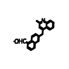 Cc1cc(Cc2ccc3c([C]=O)cccc3c2)c2ccccc2n1